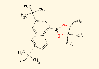 C=C1OB(c2cc(C(C)(C)C)cc3cc(C(C)(C)C)ccc23)OC1(C)C